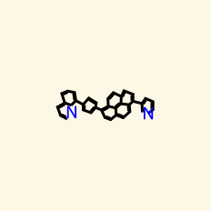 c1cncc(-c2ccc3ccc4c(-c5ccc(-c6cccc7cccnc67)cc5)ccc5ccc2c3c54)c1